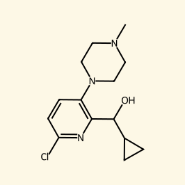 CN1CCN(c2ccc(Cl)nc2C(O)C2CC2)CC1